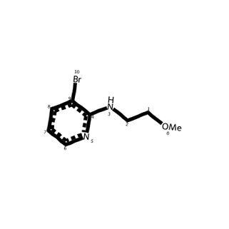 COCCNc1ncccc1Br